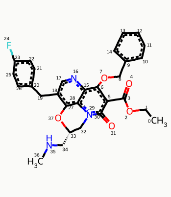 CCOC(=O)c1c(OCc2ccccc2)c2ncc(Cc3ccc(F)cc3)c3c2n(c1=O)C[C@H](CNC)O3